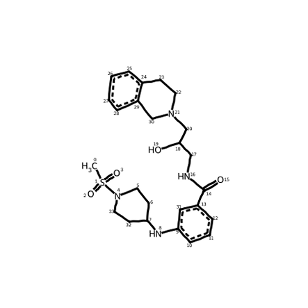 CS(=O)(=O)N1CCC(Nc2cccc(C(=O)NCC(O)CN3CCc4ccccc4C3)c2)CC1